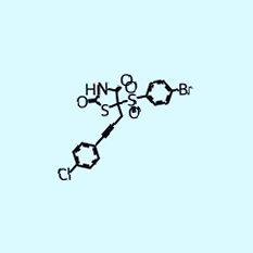 O=C1NC(=O)C(CC#Cc2ccc(Cl)cc2)(S(=O)(=O)c2ccc(Br)cc2)S1